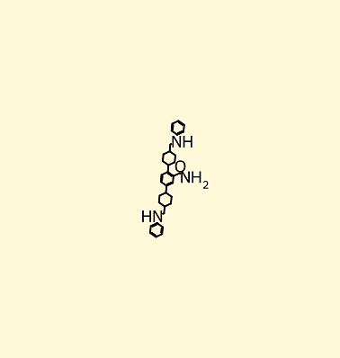 NC(=O)c1cc(C2CCC(CNc3ccccc3)CC2)ccc1C1CCC(CNc2ccccc2)CC1